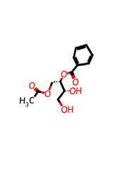 CC(=O)OC[C@H](OC(=O)c1ccccc1)[C@H](O)CO